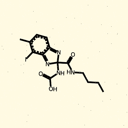 CCCCNC(=O)C1(NC(=O)O)N=c2ccc(C)c(I)c2=N1